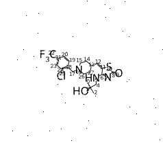 CC(C)(O)CNC1=NC(=O)SC1=CC1CCN(Cc2ccc(C(F)(F)F)cc2Cl)CC1